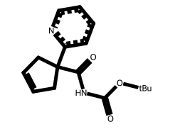 CC(C)(C)OC(=O)NC(=O)C1(c2ccccn2)CC=CC1